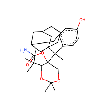 CC1(C)OCC(OC(N)=O)(C(C)(c2ccc(O)cc2)C23CC4CC(CC(C4)C2)C3)C(C(C)(C)C)O1